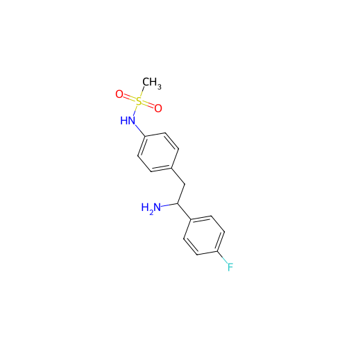 CS(=O)(=O)Nc1ccc(CC(N)c2ccc(F)cc2)cc1